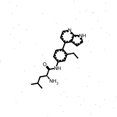 CCc1cc(NC(=O)[C@@H](N)CC(C)C)ccc1-c1ccnc2[nH]ccc12